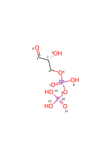 O=C[C@H](O)COP(=O)(O)OP(=O)(O)O